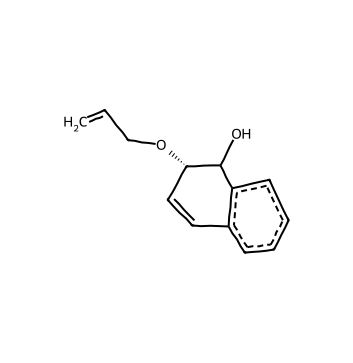 C=CCO[C@H]1C=Cc2ccccc2C1O